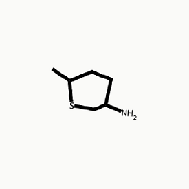 CC1CCC(N)CS1